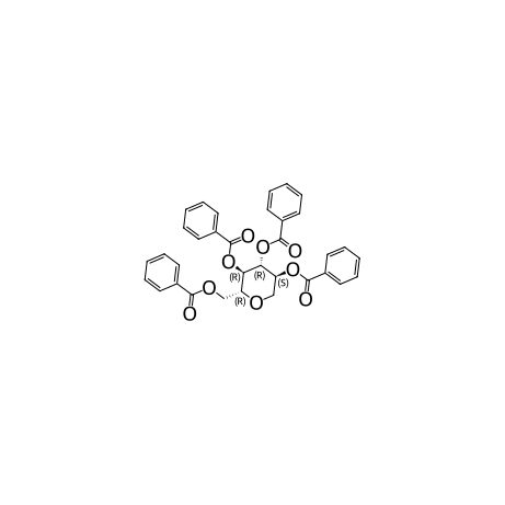 O=C(OC[C@H]1OC[C@H](OC(=O)c2ccccc2)[C@@H](OC(=O)c2ccccc2)[C@@H]1OC(=O)c1ccccc1)c1ccccc1